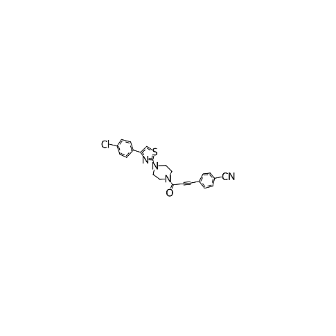 N#Cc1ccc(C#CC(=O)N2CCN(c3nc(-c4ccc(Cl)cc4)cs3)CC2)cc1